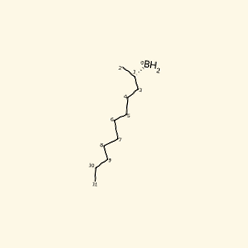 B[C@@H](C)CCCCCCCCC